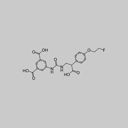 O=C(NCC(C(=O)O)c1ccc(OCCF)cc1)Nc1cc(C(=O)O)cc(C(=O)O)c1